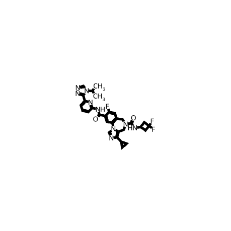 CC(C)n1cnnc1-c1cccc(NC(=O)c2cc3c(cc2F)CN(C(=O)NC2CC(F)(F)C2)Cc2c(C4CC4)ncn2-3)n1